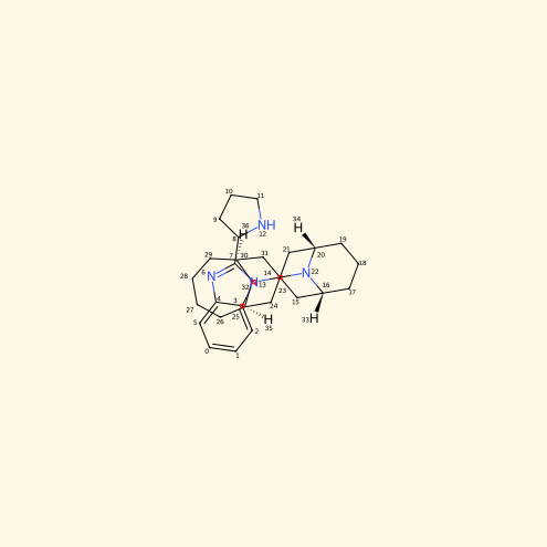 c1ccc2c(c1)nc(C1CCCN1)n2C1C[C@H]2CCC[C@@H](C1)N2C1C[C@H]2CCCC[C@@H](C1)C2